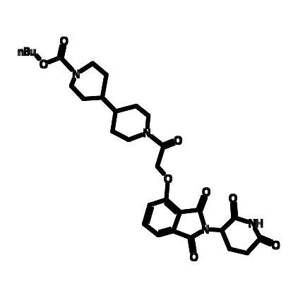 CCCCOC(=O)N1CCC(C2CCN(C(=O)COc3cccc4c3C(=O)N(C3CCC(=O)NC3=O)C4=O)CC2)CC1